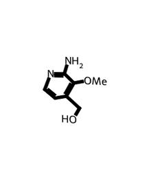 COc1c(CO)ccnc1N